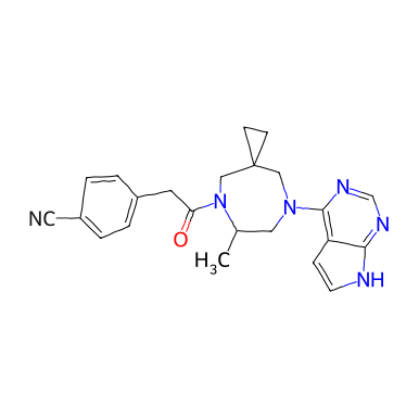 CC1CN(c2ncnc3[nH]ccc23)CC2(CC2)CN1C(=O)Cc1ccc(C#N)cc1